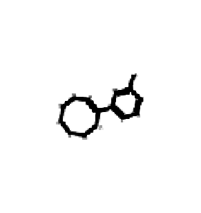 Cc1cccc(C2=CCCCCCC2)c1